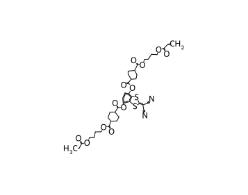 C=CC(=O)OCCCCOC(=O)C1CCC(C(=O)Oc2ccc(OC(=O)C3CCC(C(=O)OCCCCOC(=O)CC)CC3)c3c2SC(=C(C#N)C#N)S3)CC1